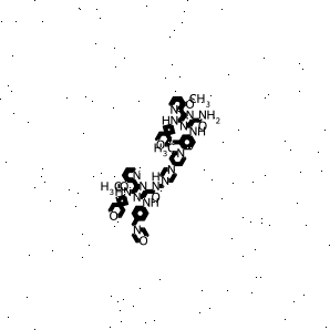 CCc1cc(Nc2nc(NC3CC4(CCOCC4)C3)c(-c3ncccc3OC)nc2C(N)=O)ccc1N1CCC(N2CCN(CNC(=O)c3nc(-c4ncccc4OC)c(NC4CC5(CCOCC5)C4)nc3Nc3ccc(CN4CCOCC4)cc3)CC2)CC1